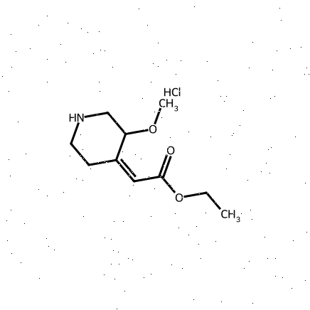 CCOC(=O)/C=C1/CCNCC1OC.Cl